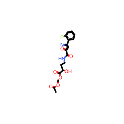 CC(=O)OCOC(=O)C(O)CCNC(=O)c1cc(-c2ccccc2F)no1